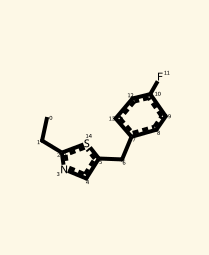 CCc1ncc(Cc2ccc(F)cc2)s1